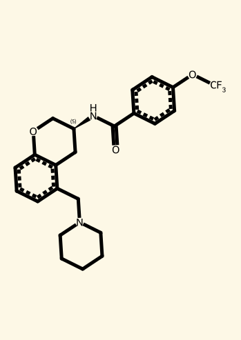 O=C(N[C@@H]1COc2cccc(CN3CCCCC3)c2C1)c1ccc(OC(F)(F)F)cc1